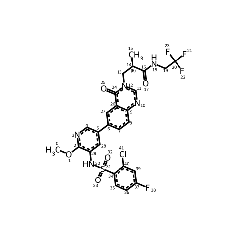 COc1ncc(-c2ccc3ncn(C[C@@H](C)C(=O)NCC(F)(F)F)c(=O)c3c2)cc1NS(=O)(=O)c1ccc(F)cc1Cl